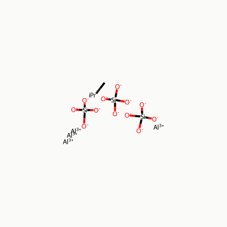 CC(C)C.[Al+3].[Al+3].[Al+3].[Al+3].[O-][Si]([O-])([O-])[O-].[O-][Si]([O-])([O-])[O-].[O-][Si]([O-])([O-])[O-]